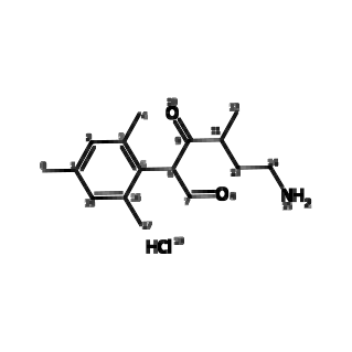 Cc1cc(C)c(C(C=O)C(=O)C(C)CCN)c(C)c1.Cl